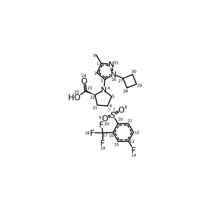 Cc1cc(N2C[C@H](S(=O)(=O)c3ccc(F)cc3C(F)(F)F)C[C@H]2C(=O)O)n(C2CCC2)n1